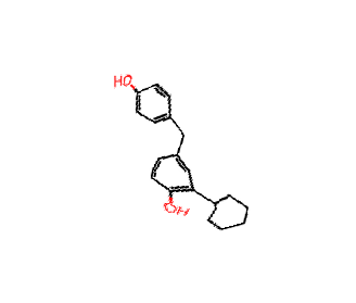 Oc1ccc(Cc2ccc(O)c(C3CCCCC3)c2)cc1